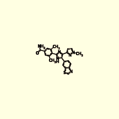 Cc1cc(C(N)=O)cc(C)c1-c1nc(-c2ccn(C)n2)c(-c2ccc3ncsc3c2)[nH]1